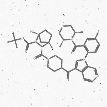 C[C@@H]1COC[C@H](C)N1C(=O)c1cc(F)ccc1-n1cc(C(=O)C2CCN(C(=O)[C@@H]3[C@H]4CC[C@H](C4)N3C(=O)OC(C)(C)C)CC2)c2ccncc21